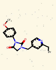 CC(C)Cc1cc(CN2CC(=O)N(c3ccc(OC(F)(F)F)cc3)C2=O)ccn1